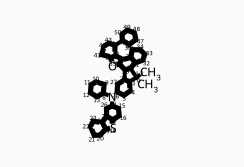 CC1(C)c2ccc(N(c3ccccc3)c3ccc4sc5ccccc5c4c3)cc2-c2c1c1ccccc1c1c2oc2cccc(-c3ccccc3)c21